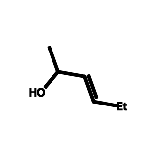 CC/C=C/C(C)O